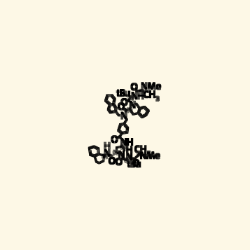 CN[C@@H](C)C(=O)N[C@H](C(=O)N1C[C@@H](NC(=O)c2ccc(CN(Cc3ccc4ccccc4c3)C(=O)[C@@H]3Cc4ccccc4CN3C(=O)[C@@H](NC(=O)[C@H](C)NC)C(C)(C)C)cc2)C[C@H]1C(=O)N[C@@H]1CCCc2ccccc21)C(C)(C)C